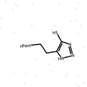 CCCCCCCc1[nH]nnc1S